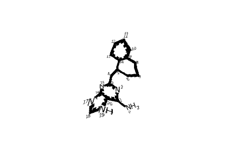 Nc1nc(CC2CCCc3ccccc32)nc2nc[nH]c12